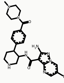 CN1CCN(C(=O)c2ccc(C3CCNCC3NC(=O)c3c(N)nn4cc(F)cnc34)cc2)CC1